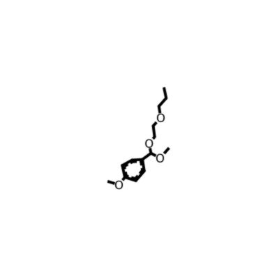 CCCOCCOC(OC)c1ccc(OC)cc1